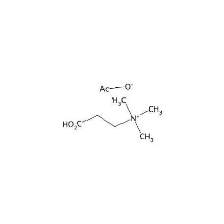 CC(=O)[O-].C[N+](C)(C)CCC(=O)O